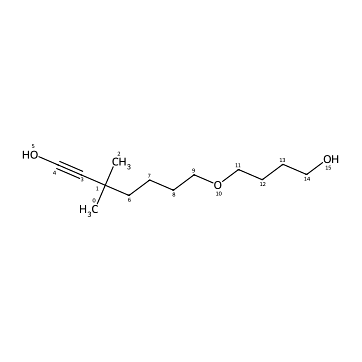 CC(C)(C#CO)CCCCOCCCCO